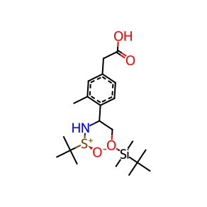 Cc1cc(CC(=O)O)ccc1C(CO[Si](C)(C)C(C)(C)C)N[S@@+]([O-])C(C)(C)C